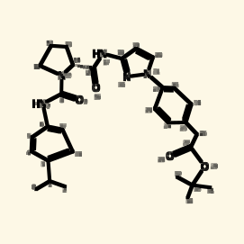 CC(C)c1ccc(NC(=O)N2CCC[C@@H]2C(=O)Nc2ccn(-c3ccc(CC(=O)OC(C)(C)C)cc3)n2)cc1